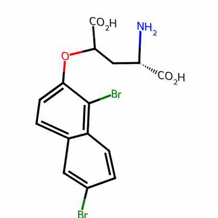 N[C@@H](CC(Oc1ccc2cc(Br)ccc2c1Br)C(=O)O)C(=O)O